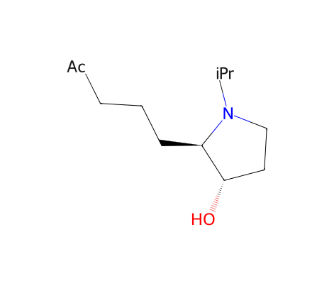 CC(=O)CCC[C@@H]1[C@@H](O)CCN1C(C)C